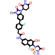 CCn1c(=O)n(C2CCC(=O)NC2=O)c2ccc(-c3ccc(CC(=O)Nc4ccc5c(F)c(N6CC(=O)NS6(=O)=O)c(O)cc5c4)cc3F)cc21